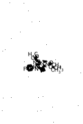 COC(=O)c1cc(N2CCN(C(=O)OC(C)(C)C)CC2)c2c(C3CCC3)nn(-c3ccc(F)cc3)c2n1